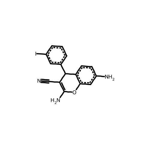 N#CC1=C(N)Oc2cc(N)ccc2C1c1cccc(I)c1